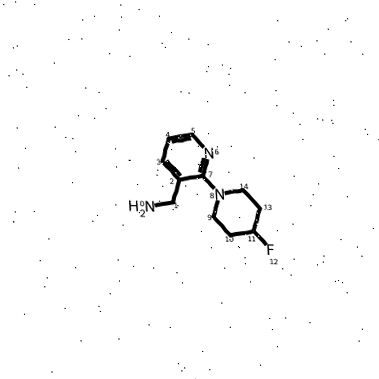 NCc1cccnc1N1CCC(F)CC1